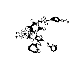 Cc1ccc(S(=O)(=O)OCCn2c(=O)c(C)cn([C@@H]3O[C@H](COC4CCCCO4)[C@@H](OC4CCCCO4)[C@@H]3OC(=O)OC(C)(C)C)c2=O)cc1